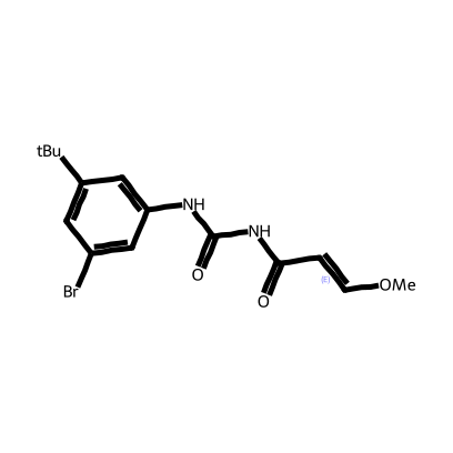 CO/C=C/C(=O)NC(=O)Nc1cc(Br)cc(C(C)(C)C)c1